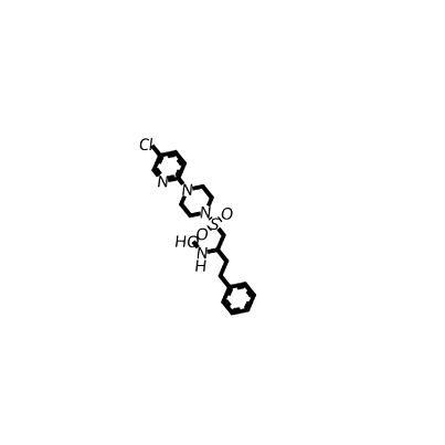 O=S(=O)(CC(CCc1ccccc1)NO)N1CCN(c2ccc(Cl)cn2)CC1